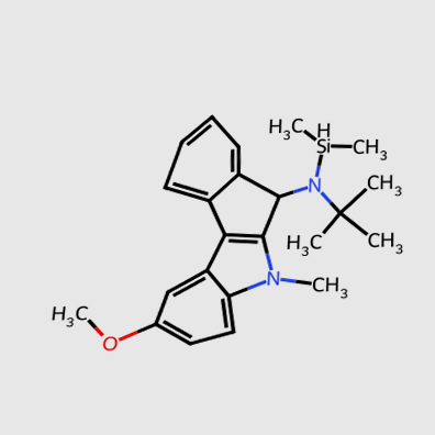 COc1ccc2c(c1)c1c(n2C)C(N([SiH](C)C)C(C)(C)C)c2ccccc2-1